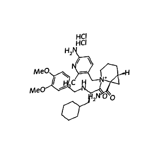 COc1ccc(CN[C@H](CC2CCCCC2)C(=O)[N+]2(Cc3ccc(N)nc3C)CCC[C@@H]3C[C@@]32C(N)=O)cc1OC.Cl.Cl